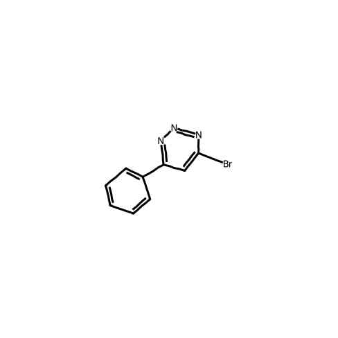 Brc1cc(-c2ccccc2)nnn1